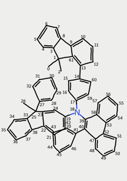 CC1(C)c2ccccc2-c2cccc(-c3ccc(N(c4ccc5c(c4)C(C)(c4ccccc4)c4ccccc4-5)c4c(-c5ccccc5)c5ccccc5c5ccccc45)cc3)c21